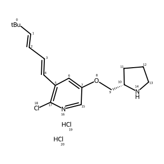 CC(C)(C)/C=C/C=C/c1cc(OC[C@@H]2CCCN2)cnc1Cl.Cl.Cl